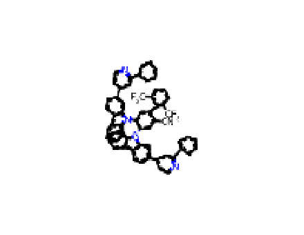 N#Cc1cc(-n2c3ccccc3c3ccc(-c4ccnc(-c5ccccc5)c4)cc32)c(-n2c3ccccc3c3ccc(-c4ccnc(-c5ccccc5)c4)cc32)cc1-c1c(C(F)(F)F)cccc1C(F)(F)F